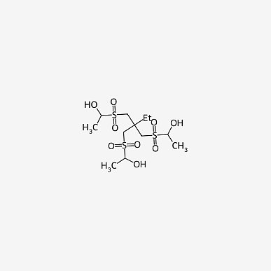 CCC(CS(=O)(=O)C(C)O)(CS(=O)(=O)C(C)O)CS(=O)(=O)C(C)O